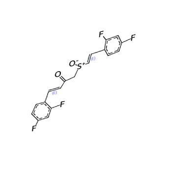 O=C(/C=C/c1ccc(F)cc1F)C[S+]([O-])/C=C/c1ccc(F)cc1F